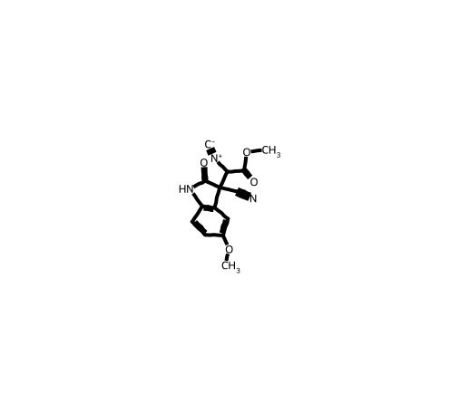 [C-]#[N+]C(C(=O)OC)C1(C#N)C(=O)Nc2ccc(OC)cc21